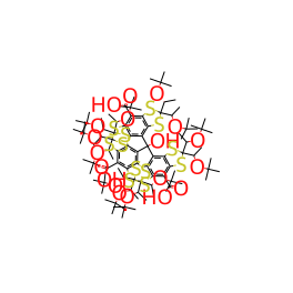 CC(OC(C)(C)C)C1(C(C)OC(C)(C)C)Sc2c(c(C(O)(c3c4c(c(C(=O)O)c5c3SC(C(C)OC(C)(C)C)(C(C)OC(C)(C)C)S5)SC(C(C)OC(C)(C)C)(C(C)OC(C)(C)C)S4)c3c4c(c(C(=O)O)c5c3SC(C(C)OC(C)(C)C)(C(C)OC(C)(C)C)S5)SC(C(C)OC(C)(C)C)(C(C)OC(C)(C)C)S4)c3c(c2C(=O)O)SC(C(C)OC(C)(C)C)(C(C)OC(C)(C)C)S3)S1